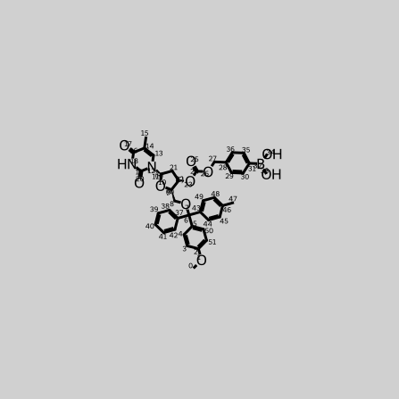 COc1ccc(C(OC[C@H]2O[C@@H](n3cc(C)c(=O)[nH]c3=O)C[C@@H]2OC(=O)OCc2ccc(B(O)O)cc2)(c2ccccc2)c2ccc(C)cc2)cc1